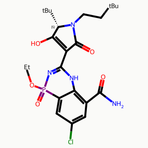 CCOP1(=O)N=C(C2=C(O)[C@H](C(C)(C)C)N(CCC(C)(C)C)C2=O)Nc2c(C(N)=O)cc(Cl)cc21